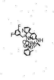 C=C(Nc1ccc(-c2cccnc2[C@H](Cc2cc(F)cc(F)c2)NC(=O)NS(=O)(=O)c2ccccc2C)cc1)OC